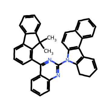 CC1(C)c2ccccc2-c2cccc(-c3nc(-n4c5c(c6c7ccccc7ccc64)C=CCC5)nc4ccccc34)c21